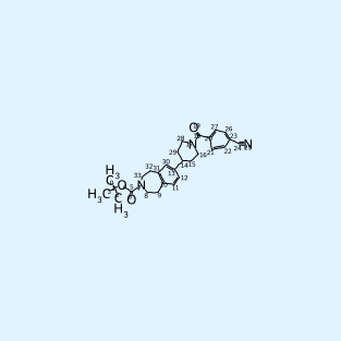 CC(C)(C)OC(=O)N1CCc2ccc(C3CCN(C(=O)c4ccc(C#N)cc4)CC3)cc2CC1